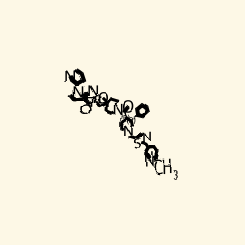 Cc1ccc(-c2ncc(CN3CC[C@@H](C(=O)N4CCC(O)(Cn5cnc6c(ccn6-c6cccnc6)c5=O)CC4)[C@H](c4ccccc4)C3)s2)cn1